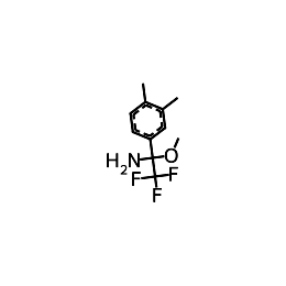 COC(N)(c1ccc(C)c(C)c1)C(F)(F)F